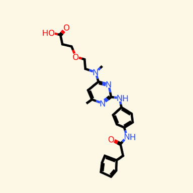 Cc1cc(N(C)CCOCCC(=O)O)nc(Nc2ccc(NC(=O)Cc3ccccc3)cc2)n1